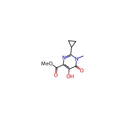 COC(=O)c1nc(C2CC2)n(C)c(=O)c1O